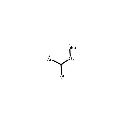 CCCCOC(C(C)=O)C(C)=O